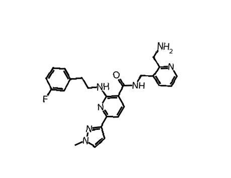 Cn1ccc(-c2ccc(C(=O)NCc3cccnc3CN)c(NCCc3cccc(F)c3)n2)n1